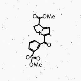 COC(=O)C1CCn2c(C(=O)c3cccc(S(=O)(=O)OC)c3)ccc21